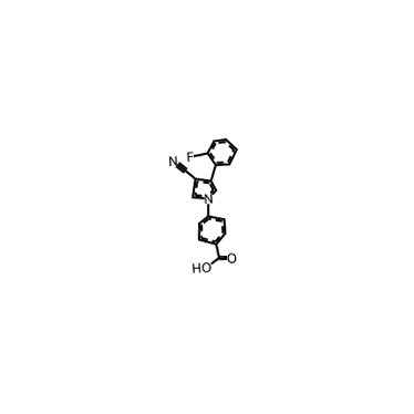 N#Cc1cn(-c2ccc(C(=O)O)cc2)cc1-c1ccccc1F